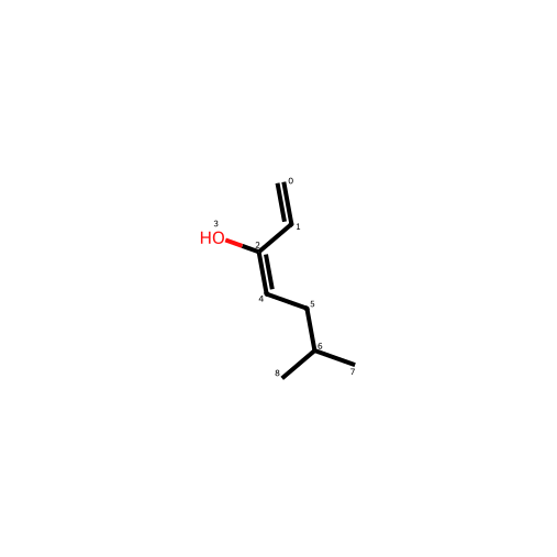 C=C/C(O)=C\CC(C)C